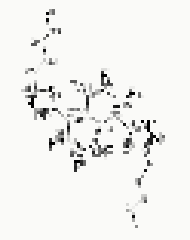 CCCCCc1nnc(-c2c(F)c(F)c(F)c3c(-c4nnc(CCCCC)s4)c(F)c(F)c(F)c23)s1